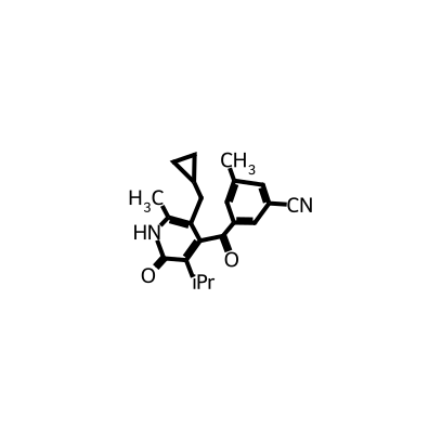 Cc1cc(C#N)cc(C(=O)c2c(CC3CC3)c(C)[nH]c(=O)c2C(C)C)c1